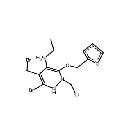 CC[SiH2]C1=C(OCc2ccco2)N(CCl)NC(Br)=C1CBr